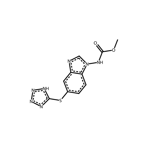 COC(=O)Nn1cnc2cc(Sc3nnn[nH]3)ccc21